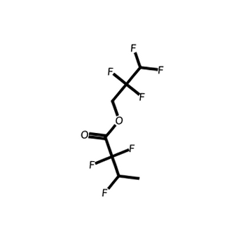 CC(F)C(F)(F)C(=O)OCC(F)(F)C(F)F